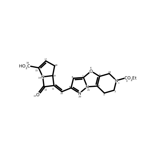 CCOC(=O)N1CCc2c(oc3cc(/C=C4/C(=O)N5C(C(=O)O)=CCC45)nn23)C1